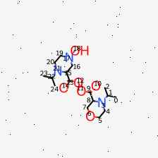 CC(C)N1CCOCC1C(=O)OOC(=O)C1CN(O)CCN1C(C)C